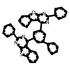 c1ccc(-c2cc(-c3nc(-c4ccccc4)nc4oc5ccccc5c34)cc(-c3nc(-c4ccccc4)nc4sc5ccccc5c34)c2)cc1